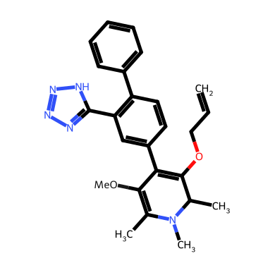 C=CCOC1=C(c2ccc(-c3ccccc3)c(-c3nnn[nH]3)c2)C(OC)=C(C)N(C)C1C